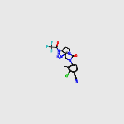 Cc1c(N2C[C@]3(N)C(NC(=O)C(F)(F)F)CCN3C2=O)ccc(C#N)c1Cl